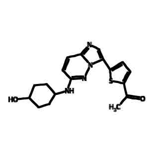 CC(=O)c1ccc(-c2cnc3ccc(NC4CCC(O)CC4)nn23)s1